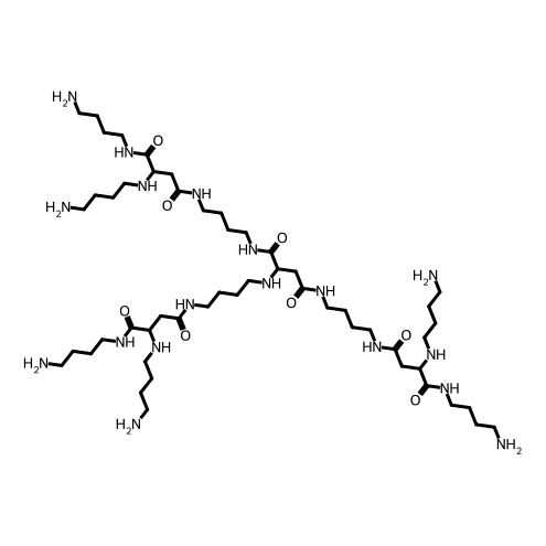 NCCCCNC(=O)C(CC(=O)NCCCCNC(=O)CC(NCCCCNC(=O)CC(NCCCCN)C(=O)NCCCCN)C(=O)NCCCCNC(=O)CC(NCCCCN)C(=O)NCCCCN)NCCCCN